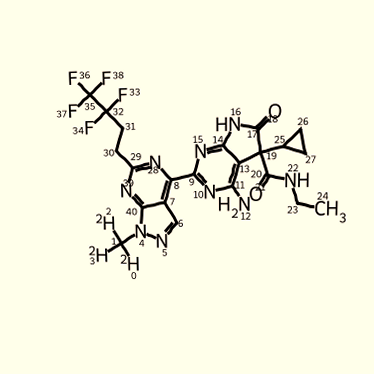 [2H]C([2H])([2H])n1ncc2c(-c3nc(N)c4c(n3)NC(=O)C4(C(=O)NCC)C3CC3)nc(CCC(F)(F)C(F)(F)F)nc21